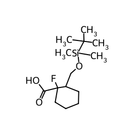 CC(C)(C)[Si](C)(C)OCC1CCCCC1(F)C(=O)O